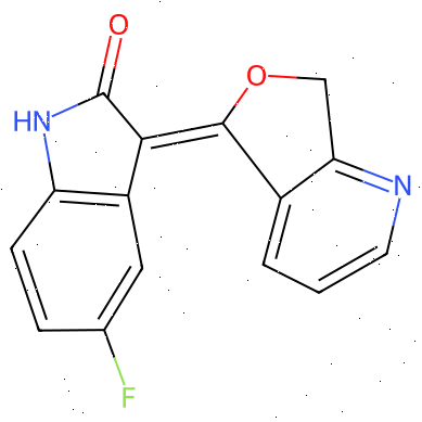 O=C1Nc2ccc(F)cc2/C1=C1/OCc2ncccc21